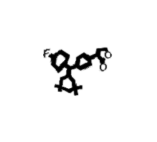 CC1(C)CC(=C(c2ccc(F)cc2)c2ccc(C3=CCOC3=O)cc2)CC(C)(C)C1